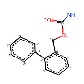 NC(=O)OCc1ccccc1-c1ccccc1